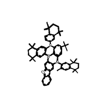 Cc1cc2c(cc1N1c3cc4c(cc3B3c5cc6c(cc5N(c5ccc7c(c5)C(C)(C)CCC7(C)C)c5cc(C(C)(C)C)cc1c53)C(C)(C)CCC6(C)C)oc1ccccc14)C(C)(C)CCC2(C)C